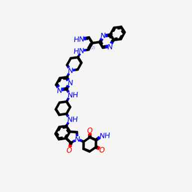 N=C/C(=C\NC1CCN(c2ccnc(NC3CCCC(Nc4cccc5c4CN(C4CCC(=O)C(=N)C4=O)C5=O)C3)n2)CC1)c1cnc2ccccc2n1